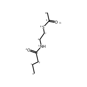 CCCC(=O)NCCSC(C)=O